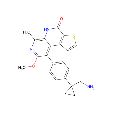 COc1nc(C)c2[nH]c(=O)c3sccc3c2c1-c1ccc(C2(CN)CC2)cc1